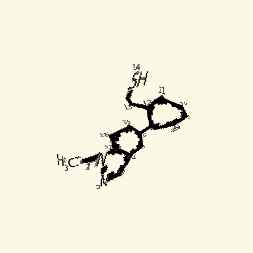 Cn1ncc2cc(-c3ccccc3CS)ccc21